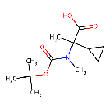 CN(C(=O)OC(C)(C)C)C(C)(C(=O)O)C1CC1